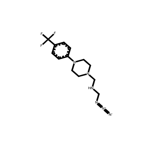 [N-]=[N+]=NCNCN1CCN(c2ccc(C(F)(F)F)cc2)CC1